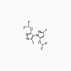 FC(F)OC1=N[N]C(I)=C1n1nc(I)cc1OC(F)F